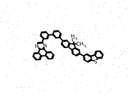 CC1(C)c2cc(-c3cccc(-c4cccc(-c5cnc6c7ccccc7c7ccccc7c6n5)c4)c3)ccc2-c2ccc(-c3ccc4sc5ccccc5c4c3)cc21